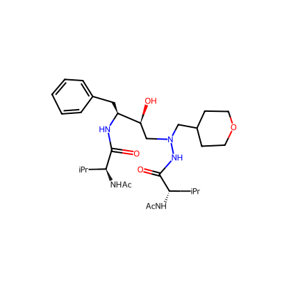 CC(=O)N[C@H](C(=O)N[C@@H](Cc1ccccc1)[C@@H](O)CN(CC1CCOCC1)NC(=O)[C@@H](NC(C)=O)C(C)C)C(C)C